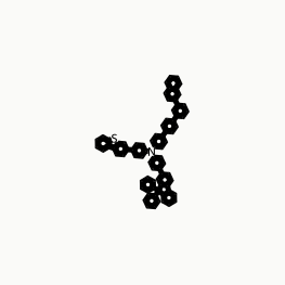 c1ccc(C2(c3ccccc3)c3ccccc3-c3ccc(-c4ccc(N(c5ccc(-c6ccc(-c7cccc(-c8ccc9ccccc9c8)c7)cc6)cc5)c5ccc(-c6ccc7c(c6)sc6ccccc67)cc5)cc4)cc32)cc1